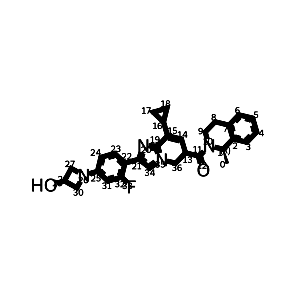 C[C@@H]1c2ccccc2CCN1C(=O)C1C=C(C2CC2)c2nc(-c3ccc(N4CC(O)C4)cc3F)cn2C1